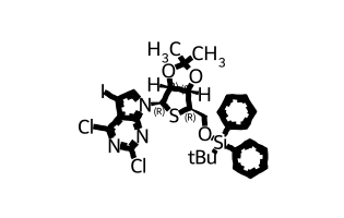 CC1(C)O[C@@H]2[C@H](O1)[C@@H](CO[Si](c1ccccc1)(c1ccccc1)C(C)(C)C)S[C@H]2n1cc(I)c2c(Cl)nc(Cl)nc21